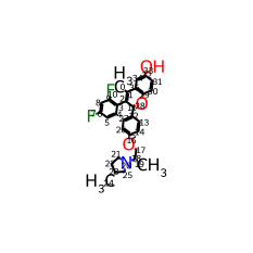 CC1=C(c2ccc(F)cc2F)C(c2ccc(OC[C@H](C)N3CC[C@@H](C)C3)cc2)Oc2ccc(O)cc21